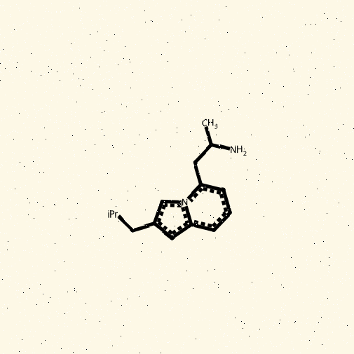 CC(C)Cc1cc2cccc(CC(C)N)n2c1